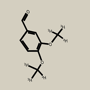 [2H]C([2H])([2H])Oc1ccc(C=O)cc1OC([2H])([2H])[2H]